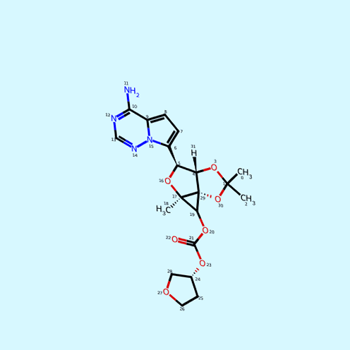 CC1(C)O[C@H]2[C@H](c3ccc4c(N)ncnn34)O[C@]3(C)C(OC(=O)O[C@@H]4CCOC4)[C@]23O1